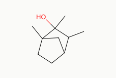 CC1C2CCC(C)(C2)C1(C)O